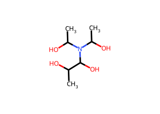 CC(O)C(O)N(C(C)O)C(C)O